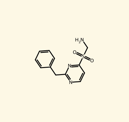 NCS(=O)(=O)c1ccnc(Cc2ccccc2)n1